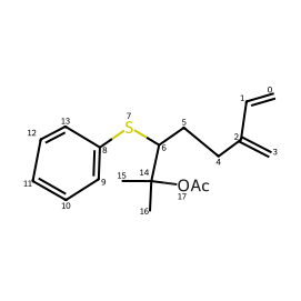 C=CC(=C)CCC(Sc1ccccc1)C(C)(C)OC(C)=O